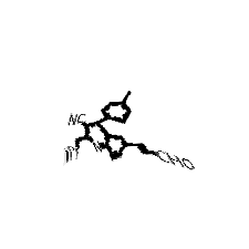 Cc1ccc(-c2c(C#N)c(CC(C)C)nc3ccc(/C=C/C=O)cc23)cc1